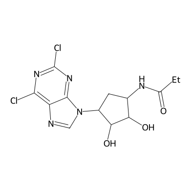 CCC(=O)NC1CC(n2cnc3c(Cl)nc(Cl)nc32)C(O)C1O